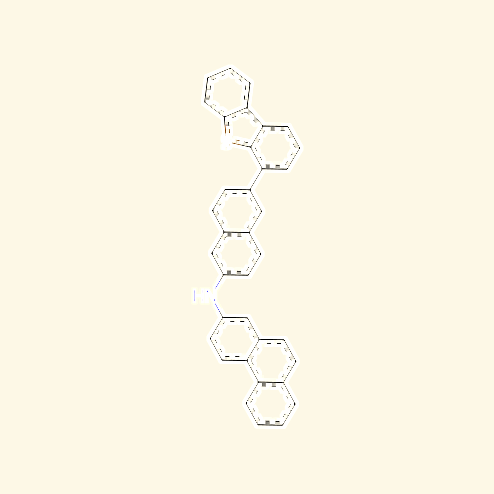 c1ccc2c(c1)ccc1cc(Nc3ccc4cc(-c5cccc6c5sc5ccccc56)ccc4c3)ccc12